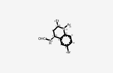 CC[C@@H]1C[C@H](NC=O)c2cc(Br)ccc2N1C(C)=O